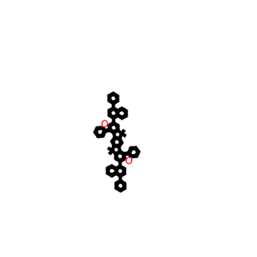 CC1(C)c2cc3c(cc2-c2c1cc(-c1ccc(-c4ccccc4)c4ccccc14)c1oc4ccccc4c21)C(C)(C)c1cc(-c2ccc(-c4ccccc4)c4ccccc24)c2oc4ccccc4c2c1-3